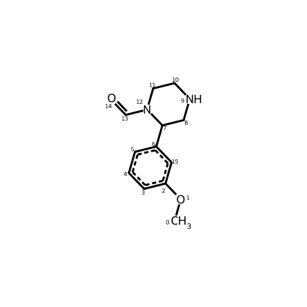 COc1cccc(C2CNCCN2C=O)c1